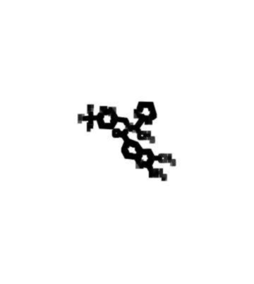 Cc1cc2cc(C(=O)N(Cc3ccc(C(F)(F)F)nn3)[C@H](C)c3ncccn3)ccc2nc1N